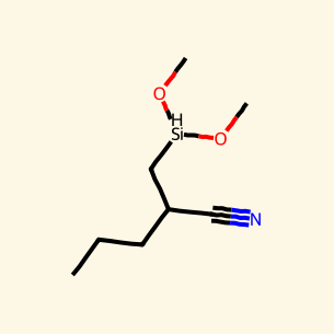 CCCC(C#N)C[SiH](OC)OC